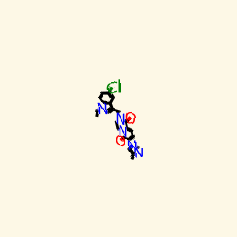 CCn1cc(CN2CCn3c(ccc(-n4cnc(C)c4)c3=O)C2=O)c2cc(Cl)ccc21